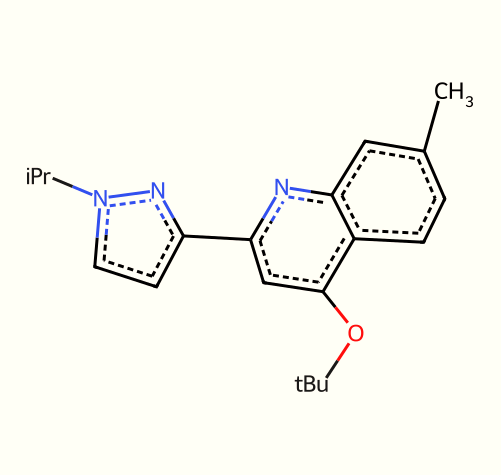 Cc1ccc2c(OC(C)(C)C)cc(-c3ccn(C(C)C)n3)nc2c1